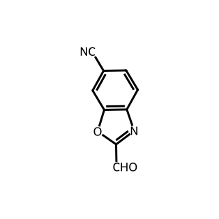 N#Cc1ccc2nc(C=O)oc2c1